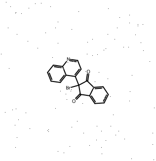 O=C1c2ccccc2C(=O)C1(Br)c1ccnc2ccccc12